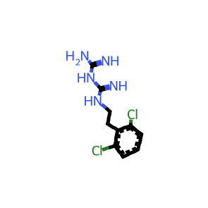 N=C(N)NC(=N)NCCc1c(Cl)cccc1Cl